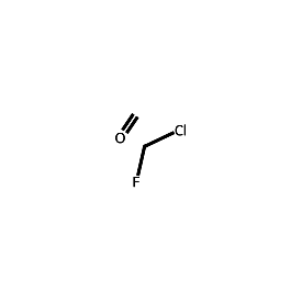 C=O.FCCl